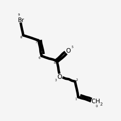 C=CCOC(=O)C=CCBr